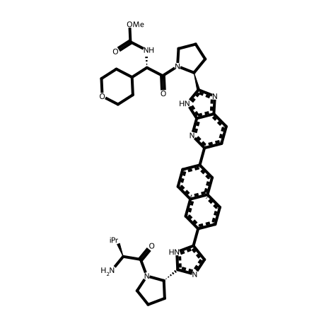 COC(=O)N[C@H](C(=O)N1CCC[C@H]1c1nc2ccc(-c3ccc4cc(-c5cnc([C@@H]6CCCN6C(=O)[C@@H](N)C(C)C)[nH]5)ccc4c3)nc2[nH]1)C1CCOCC1